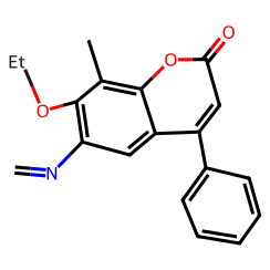 C=Nc1cc2c(-c3ccccc3)cc(=O)oc2c(C)c1OCC